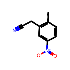 Cc1ccc([N+](=O)[O-])cc1CC#N